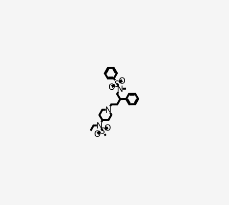 CCN(C1CCN(CCC(CN(C)S(=O)(=O)c2ccccc2)c2ccccc2)CC1)S(C)(=O)=O